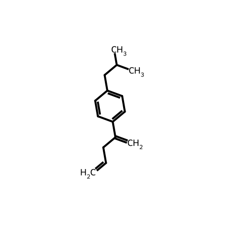 C=CCC(=C)c1ccc(CC(C)C)cc1